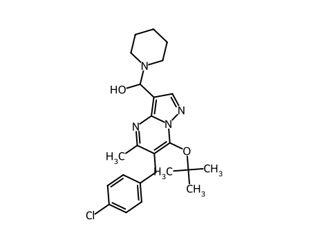 Cc1nc2c(C(O)N3CCCCC3)cnn2c(OC(C)(C)C)c1Cc1ccc(Cl)cc1